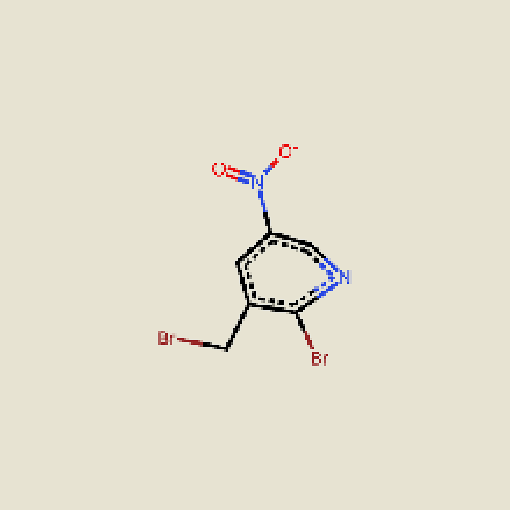 O=[N+]([O-])c1cnc(Br)c(CBr)c1